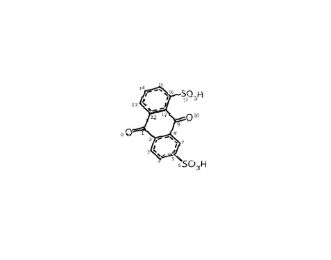 O=C1c2ccc(S(=O)(=O)O)cc2C(=O)c2c1cccc2S(=O)(=O)O